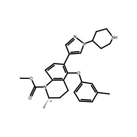 COC(=O)N1c2ccc(-c3cnn(C4CCNCC4)c3)c(Oc3cccc(C)c3)c2CC[C@@H]1C